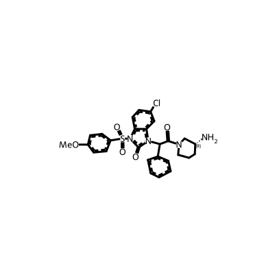 COc1ccc(S(=O)(=O)n2c(=O)n(C(C(=O)N3CCC[C@@H](N)C3)c3ccccc3)c3cc(Cl)ccc32)cc1